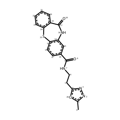 Cc1nnc(CCNC(=O)c2ccc3c(c2)NC(=O)c2ccccc2S3)o1